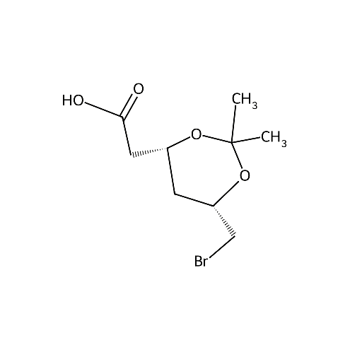 CC1(C)O[C@H](CBr)C[C@H](CC(=O)O)O1